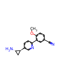 COc1ccc(C#N)cc1-c1ccc([C@H]2C[C@@H]2N)cn1